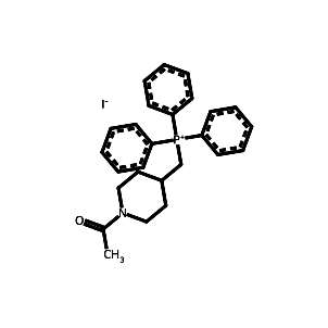 CC(=O)N1CCC(C[P+](c2ccccc2)(c2ccccc2)c2ccccc2)CC1.[I-]